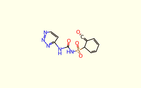 O=C=C1C=CC=CC1S(=O)(=O)NC(=O)Nc1ccnnn1